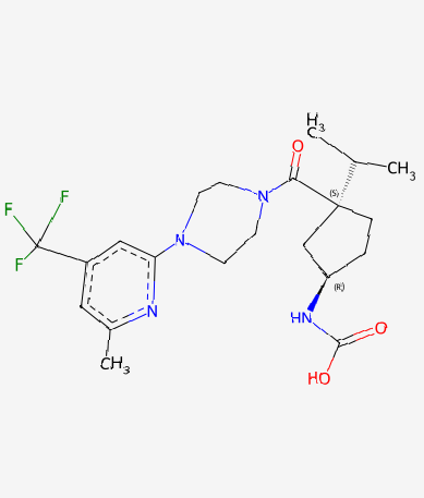 Cc1cc(C(F)(F)F)cc(N2CCN(C(=O)[C@@]3(C(C)C)CC[C@@H](NC(=O)O)C3)CC2)n1